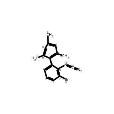 Cc1cc(C)c(-c2cccc(Br)c2N=C=S)c(C)c1